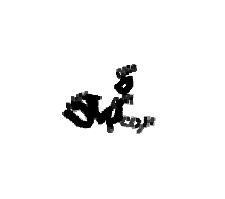 CCOC(=O)C1=C(Nc2ccc(OC)cc2)OC(=Cc2c[nH]c3ncccc23)C1=O